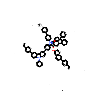 C=Cc1ccc(C2C=Cc3cc(OCC(C)CCCCC4(c5ccccc5)C5=CC(N(c6ccc(C7=CC8C9CC(c%10ccc(C=C)cc%10)CC=C9N(c9ccccc9)C8C=C7)cc6)C6C=CC(C7=CC[C@H](C(C)(C)C)C=C7)CC6)CCC5C5CCC=CC54)ccc3C2)cc1